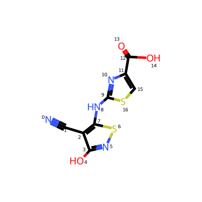 N#Cc1c(O)nsc1Nc1nc(C(=O)O)cs1